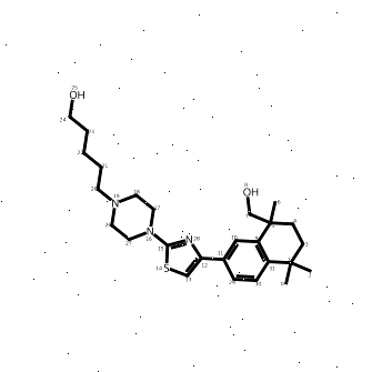 CC1(C)CCC(C)(CO)c2cc(-c3csc(N4CCN(CCCCCO)CC4)n3)ccc21